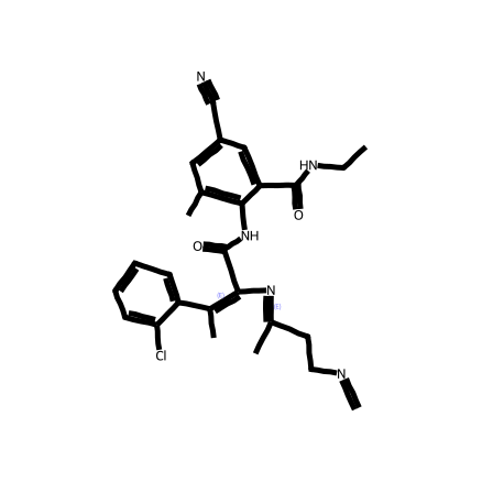 C=NCC/C(C)=N/C(C(=O)Nc1c(C)cc(C#N)cc1C(=O)NCC)=C(\C)c1ccccc1Cl